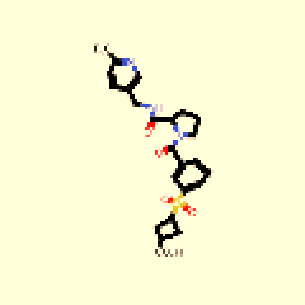 O=C(O)C1CC(S(=O)(=O)c2cccc(C(=O)N3CCCC3C(=O)NCc3ccc(C(F)(F)F)nc3)c2)C1